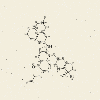 C=CCC[C@H]1CN(c2nc3c(cc2C)CCC3(O)CC)c2nc(Nc3cc4c5c(c3)CN(C)CC5(C)CCC4)ncc2C1=O